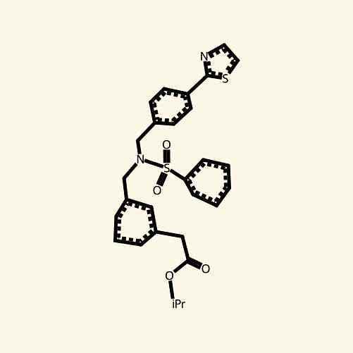 CC(C)OC(=O)Cc1cccc(CN(Cc2ccc(-c3nccs3)cc2)S(=O)(=O)c2ccccc2)c1